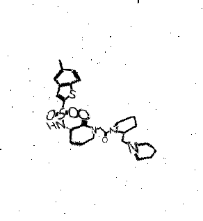 Cc1ccc2sc(S(=O)(=O)N[C@H]3CCCN(CC(=O)N4CCC[C@H]4CN4CCCC4)C3=O)cc2c1